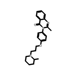 Cc1nc2ccccc2c(=O)n1-c1ccc(OCCCN2CCCCC2C)cc1